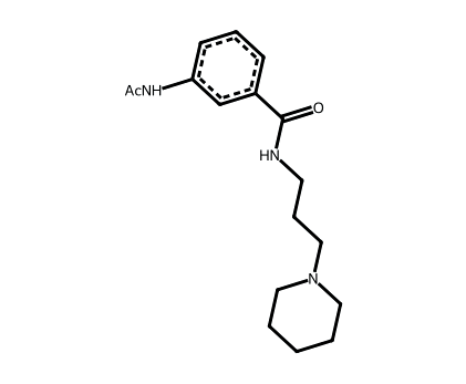 CC(=O)Nc1cccc(C(=O)NCCCN2CCCCC2)c1